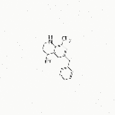 CC(C)C1CCNc2c1cc(Cc1ccccc1)cc2C(F)(F)F